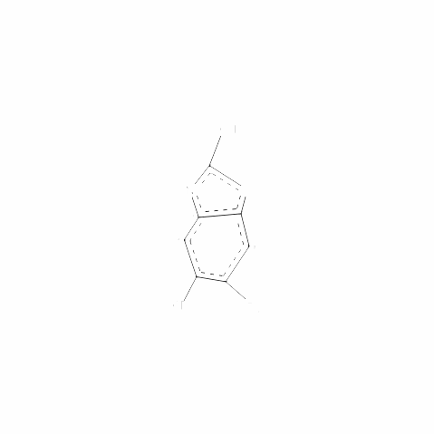 Cc1nc2cc(Cl)c(F)cc2o1